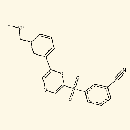 CNCC1C=CC=C(C2=COC=C(S(=O)(=O)c3cccc(C#N)c3)O2)C1